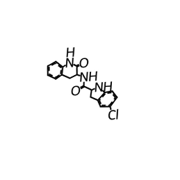 O=C1Nc2ccccc2CC1NC(=O)C1Cc2cc(Cl)ccc2N1